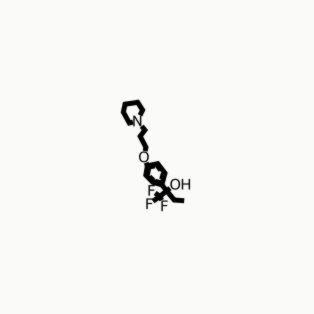 CCC(O)(c1ccc(OCCCN2CCCCC2)cc1)C(F)(F)F